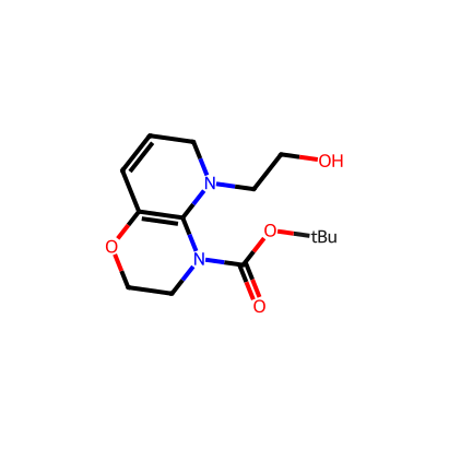 CC(C)(C)OC(=O)N1CCOC2=C1N(CCO)CC=C2